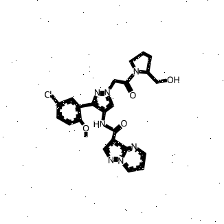 COc1ccc(Cl)cc1-c1nn(CC(=O)N2CCCC2CO)cc1NC(=O)c1cnn2cccnc12